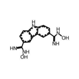 N=C(NO)c1ccc2[nH]c3ccc(C(=N)NO)cc3c2c1